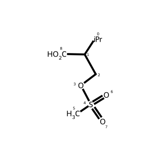 CC(C)C(COS(C)(=O)=O)C(=O)O